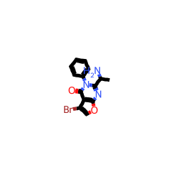 CC(N)c1nc2occ(Br)c2c(=O)n1-c1ccccc1